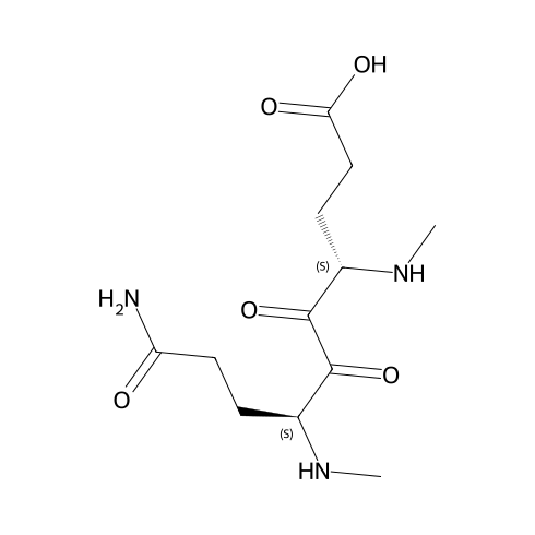 CN[C@@H](CCC(N)=O)C(=O)C(=O)[C@H](CCC(=O)O)NC